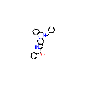 O=C(c1ccccc1)c1cc2cc(N(Cc3ccccc3)Cc3ccccc3)ncc2[nH]1